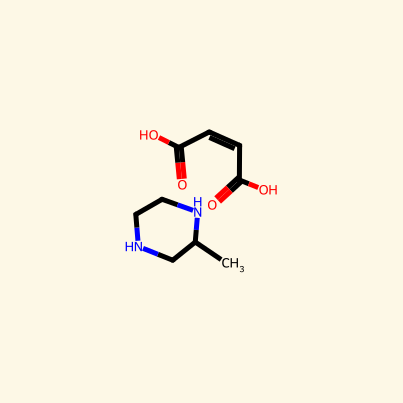 CC1CNCCN1.O=C(O)/C=C\C(=O)O